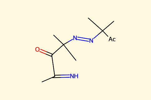 CC(=N)C(=O)C(C)(C)N=NC(C)(C)C(C)=O